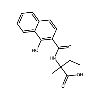 CCC(C)(NC(=O)c1ccc2ccccc2c1O)C(=O)O